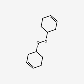 C1=CCC(SSC2CC=CCC2)CC1